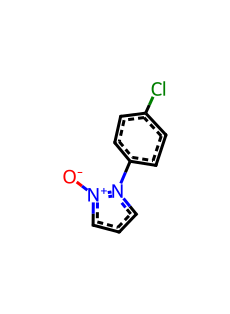 [O-][n+]1cccn1-c1ccc(Cl)cc1